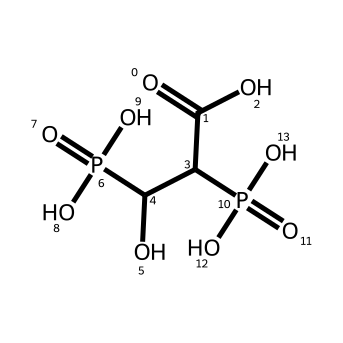 O=C(O)C(C(O)P(=O)(O)O)P(=O)(O)O